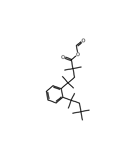 CC(C)(C)CC(C)(C)c1ccccc1C(C)(C)CC(C)(C)C(=O)OC=O